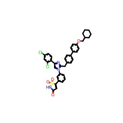 O=C1C=C(c2cccc(-n3cc(-c4ccc(Cl)cc4Cl)nc3Cc3ccc(-c4ccc(OCC5CCCCC5)cc4)cc3)c2)S(=O)(=O)N1